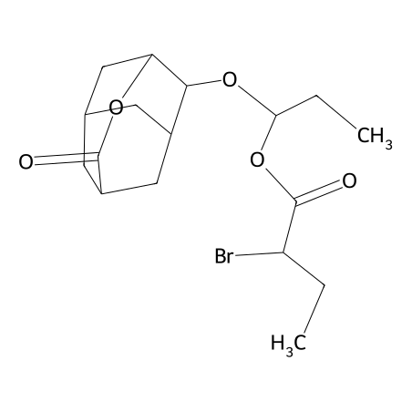 CCC(OC(=O)C(Br)CC)OC1C2CC3CC(C2)C(=O)OC1C3